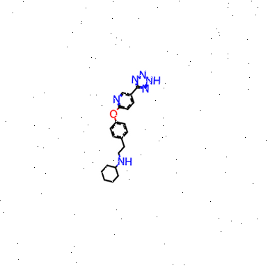 c1cc(Oc2ccc(-c3nn[nH]n3)cn2)ccc1CCNC1CCCCC1